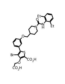 CCc1cccc(CC)c1NC(=O)N1CCC(COc2cccc(-c3sc(C(=O)O)c(OCC(=O)O)c3Br)c2)CC1